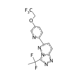 CC(F)(F)c1nnc2ccc(-c3ccc(OCC(F)(F)F)cn3)nn12